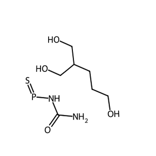 NC(=O)NP=S.OCCCC(CO)CO